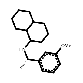 COc1cccc([C@H](C)NC2CCCC3CCCCC32)c1